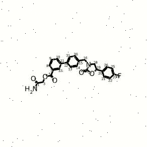 NC(=O)COC(=O)c1cccc(-c2ccc(CN3CC(c4ccc(F)cc4)OC3=O)cc2)c1